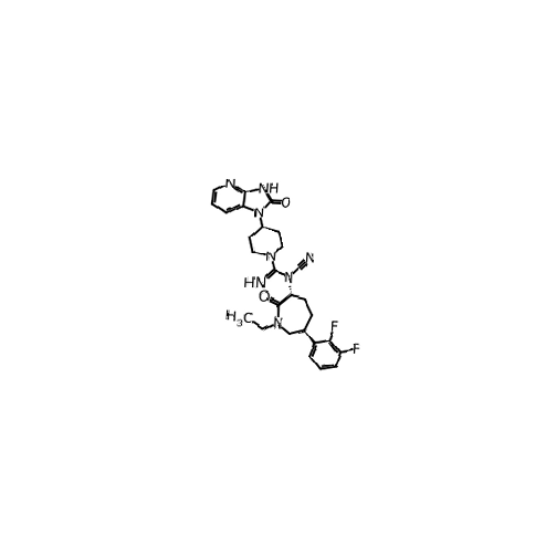 CCN1C[C@H](c2cccc(F)c2F)CC[C@@H](N(C#N)C(=N)N2CCC(n3c(=O)[nH]c4ncccc43)CC2)C1=O